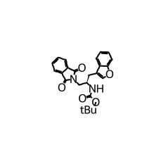 CC(C)(C)OC(=O)N[C@H](Cc1coc2ccccc12)CN1C(=O)c2ccccc2C1=O